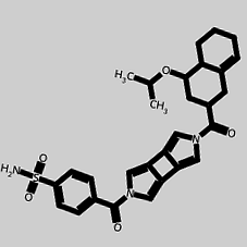 CC(C)OC1CC(C(=O)n2cc3c(c2)-c2cn(C(=O)c4ccc(S(N)(=O)=O)cc4)cc2-3)CC2=CCCCC21